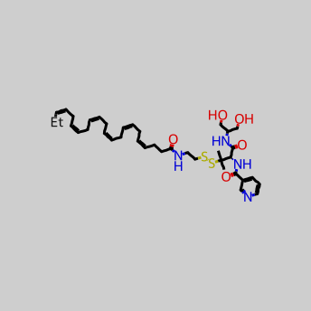 CC/C=C\C/C=C\C/C=C\C/C=C\C/C=C\C/C=C\CCC(=O)NCCSSC(C)(C)[C@@H](NC(=O)c1cccnc1)C(=O)NC(CO)CO